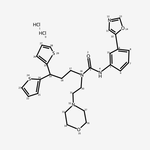 Cl.Cl.O=C(Nc1cccc(-c2cnco2)c1)N(CCC(c1cccs1)c1cccs1)CCN1CCOCC1